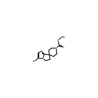 CC(C)(C)OC(=O)N1CCC2(CC1)CCn1c(Br)cnc12